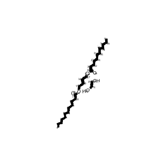 CCCCCCCCCCCC(=O)OCCCCOC(=O)CCCCCCCCCCC.OCCO